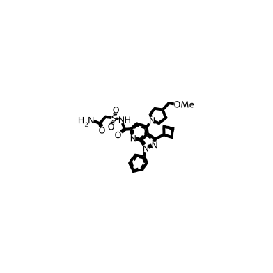 COCC1CCN(c2cc(C(=O)NS(=O)(=O)CC(N)=O)nc3c2c(C2CCC2)nn3-c2ccccc2)CC1